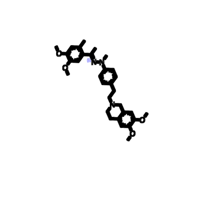 COc1cc(C)c(/C(C)=N/N(C)c2ccc(CCN3CCc4cc(OC)c(OC)cc4C3)cc2)cc1OC